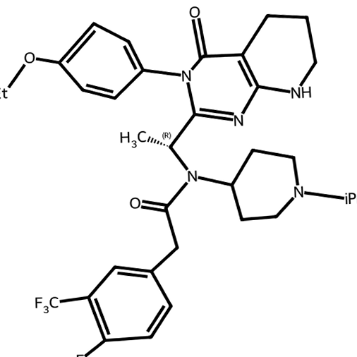 CCOc1ccc(-n2c([C@@H](C)N(C(=O)Cc3ccc(F)c(C(F)(F)F)c3)C3CCN(C(C)C)CC3)nc3c(c2=O)CCCN3)cc1